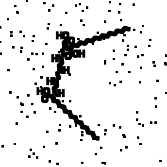 CCCCCCCCCCCCCCCC=C(NCCNCCNCCNCCN(CC(=O)O)C(=CCCCCCCCCCCCCCCC)C(=O)O)C(=O)O